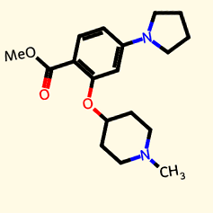 COC(=O)c1ccc(N2CCCC2)cc1OC1CCN(C)CC1